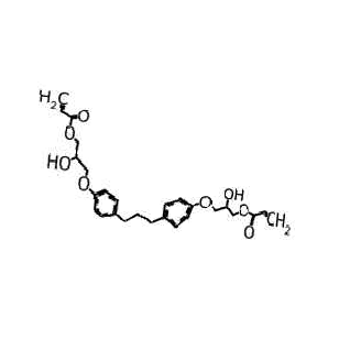 C=CC(=O)OCC(O)COc1ccc(CCCc2ccc(OCC(O)COC(=O)C=C)cc2)cc1